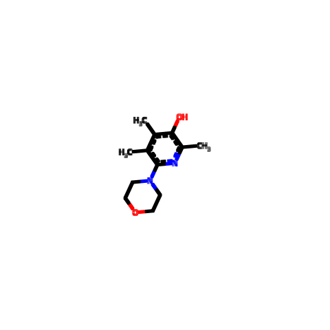 Cc1nc(N2CCOCC2)c(C)c(C)c1O